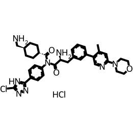 Cc1cc(N2CCOCC2)ncc1-c1cccc(C[C@H](N)C(=O)N(c2ccc(-c3nnc(Cl)[nH]3)cc2)C(=O)[C@H]2CC[C@H](CN)CC2)c1.Cl